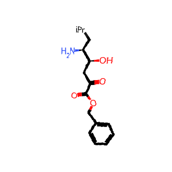 CC(C)C[C@H](N)[C@@H](O)CC(=O)C(=O)OCc1ccccc1